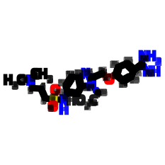 CN(C)CCCS(=O)(=O)Nc1ccc2nc(COc3ccc(C(=N)N)cc3)n(CC(=O)O)c2c1